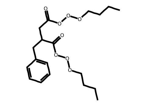 CCCCOOOC(=O)CC(Cc1ccccc1)C(=O)OOOCCCC